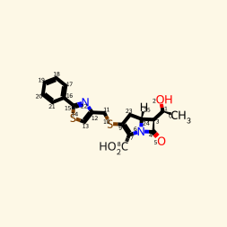 C[C@H](O)[C@H]1C(=O)N2C(C(=O)O)=C(SCc3csc(-c4ccccc4)n3)C[C@H]12